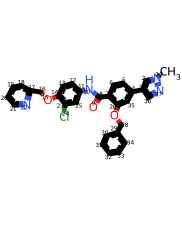 Cn1cc(-c2ccc(C(=O)Nc3ccc(OCc4ccccn4)c(Cl)c3)c(OCc3ccccc3)c2)cn1